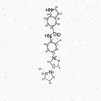 Cc1cc(N2CC[C@H](N3CCC[C@@H]3C)C2)ccc1NC(=O)c1ccc2[nH]ccc2c1